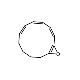 C1=CC=CC2=C(CCCCC=C1)O2